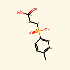 Cc1ccc(P(=O)(O)CCC(=O)O)cc1